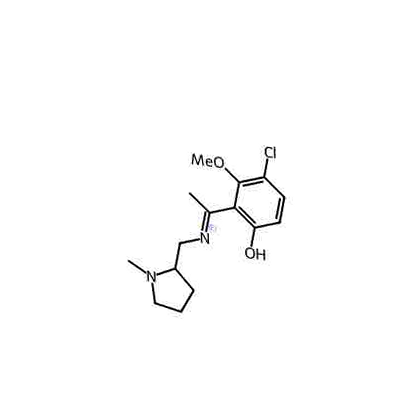 COc1c(Cl)ccc(O)c1/C(C)=N/CC1CCCN1C